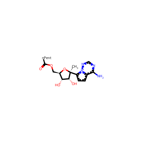 CCCCCC(=O)OC[C@H]1O[C@@](C)(c2ccc3c(N)ncnn23)[C@H](O)[C@@H]1O